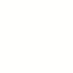 CS(=O)(=O)OCCC1CCOC1